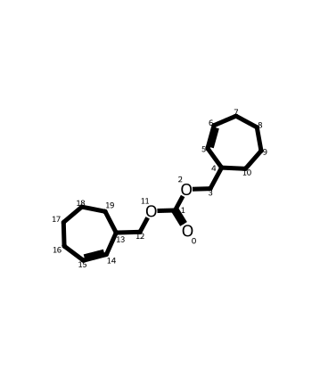 O=C(OCC1C=CCCCC1)OCC1C=CCCCC1